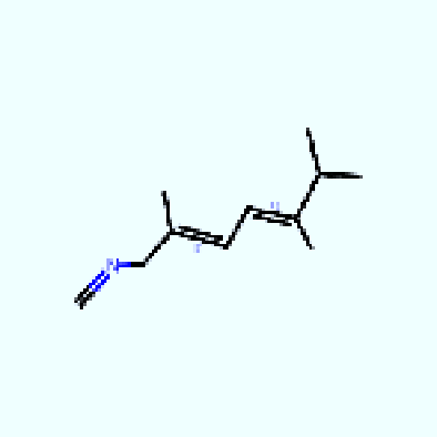 C=NC/C(C)=C/C=C(\C)C(C)C